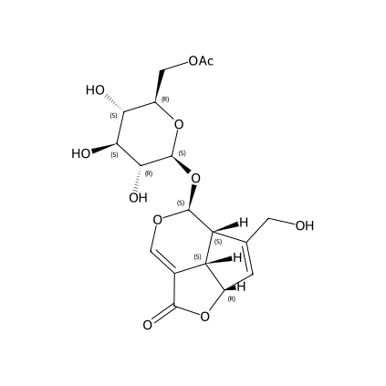 CC(=O)OC[C@H]1O[C@@H](O[C@@H]2OC=C3C(=O)O[C@H]4C=C(CO)[C@@H]2[C@@H]34)[C@H](O)[C@@H](O)[C@@H]1O